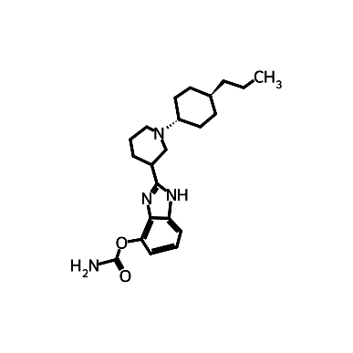 CCC[C@H]1CC[C@H](N2CCCC(c3nc4c(OC(N)=O)cccc4[nH]3)C2)CC1